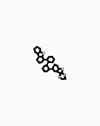 c1ccc(-c2ccccc2-c2cccc3c2oc2ccccc23)c(-c2ccc3oc4nccnc4c3c2)c1